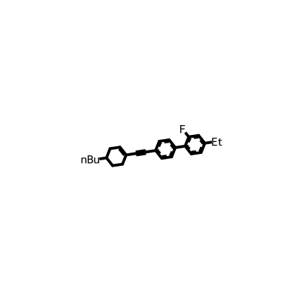 CCCCC1CC=C(C#Cc2ccc(-c3ccc(CC)cc3F)cc2)CC1